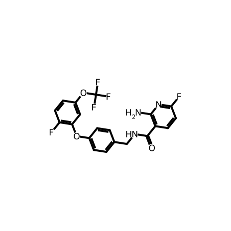 Nc1nc(F)ccc1C(=O)NCc1ccc(Oc2cc(OC(F)(F)F)ccc2F)cc1